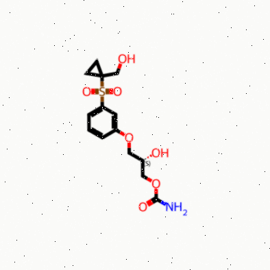 NC(=O)OC[C@@H](O)COc1cccc(S(=O)(=O)C2(CO)CC2)c1